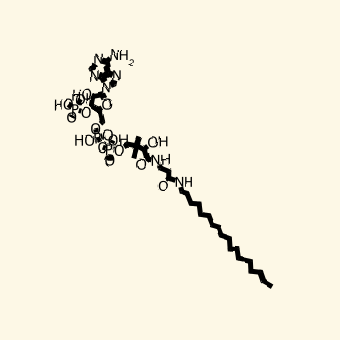 CCCCCCCCCCCCCCCCCCNC(=O)CCNC(=O)C(O)C(C)(C)COP(=O)(O)OP(=O)(O)OCC1OC(n2cnc3c(N)ncnc32)C(O)C1OP(=O)(O)O